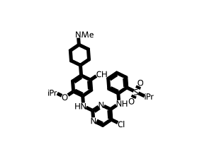 CNC1CCC(c2cc(OC(C)C)c(Nc3ncc(Cl)c(Nc4ccccc4S(=O)(=O)C(C)C)n3)cc2C)CC1